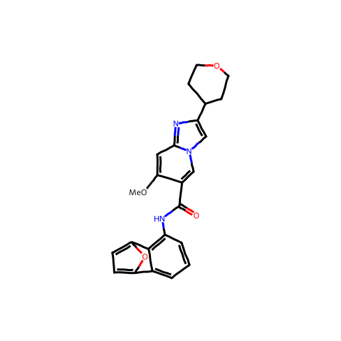 COc1cc2nc(C3CCOCC3)cn2cc1C(=O)Nc1cccc2c3ccc(o3)c12